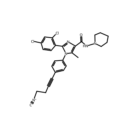 [C-]#[N+]CCC#Cc1ccc(-n2c(-c3ccc(Cl)cc3Cl)nc(C(=O)NN3CCCCC3)c2C)cc1